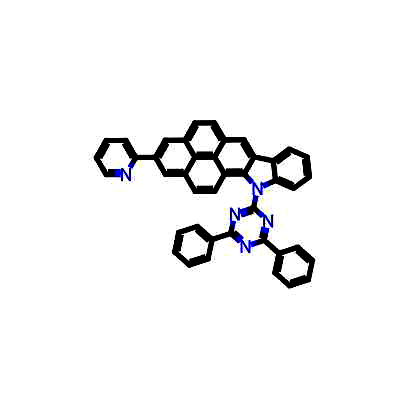 c1ccc(-c2nc(-c3ccccc3)nc(-n3c4ccccc4c4cc5ccc6cc(-c7ccccn7)cc7ccc(c5c67)c43)n2)cc1